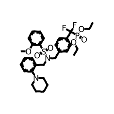 CCOP(=O)(OCC)C(F)(F)c1ccc(CN(Cc2ccccc2N2CCCCC2)S(=O)(=O)c2ccccc2OC)cc1